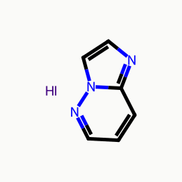 I.c1cnn2ccnc2c1